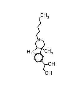 CCCCCCN1CCC(C)(c2cccc(C(O)CO)c2)C(C)C1